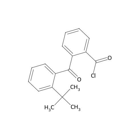 CC(C)(C)c1ccccc1C(=O)c1ccccc1C(=O)Cl